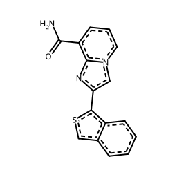 NC(=O)c1cccn2cc(-c3scc4ccccc34)nc12